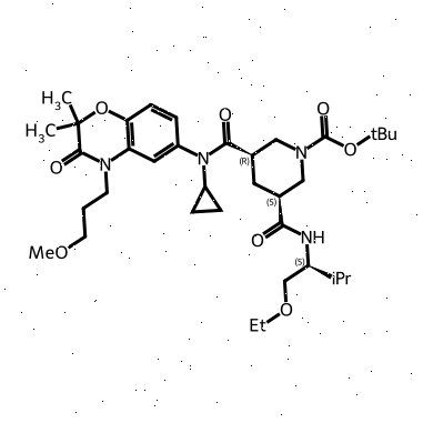 CCOC[C@@H](NC(=O)[C@H]1C[C@@H](C(=O)N(c2ccc3c(c2)N(CCCOC)C(=O)C(C)(C)O3)C2CC2)CN(C(=O)OC(C)(C)C)C1)C(C)C